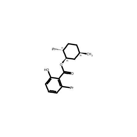 CC(C)c1cccc(O)c1C(=O)O[C@@H]1C[C@H](C)CC[C@H]1C(C)C